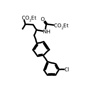 CCOC(=O)C(=O)NC(Cc1ccc(-c2cccc(Cl)c2)cc1)CC(C)C(=O)OCC